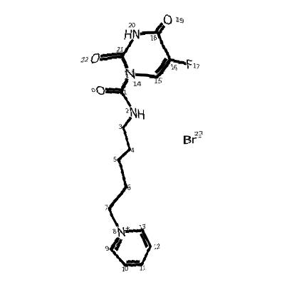 O=C(NCCCCC[n+]1ccccc1)n1cc(F)c(=O)[nH]c1=O.[Br-]